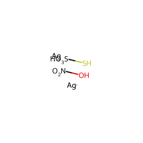 O=S(=O)(O)S.O=[N+]([O-])O.[Ag].[Ag]